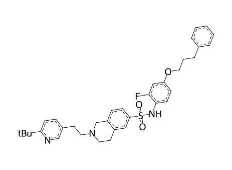 CC(C)(C)c1ccc(CCN2CCc3cc(S(=O)(=O)Nc4ccc(OCCCc5ccccc5)cc4F)ccc3C2)cn1